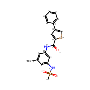 CS(=O)(=O)Nc1cc(C=O)cc(NC(=O)c2cc(-c3ccccc3)cs2)c1